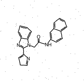 O=C(Cn1c(C2=CCC=N2)nc2ccccc21)Nc1ccc2ccccc2c1